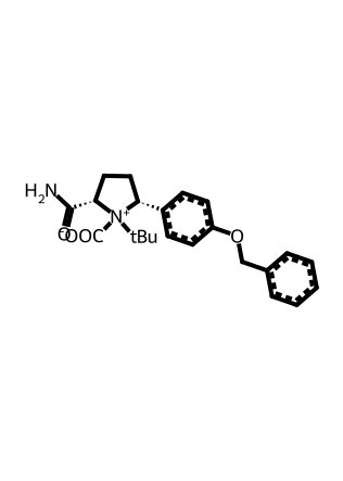 CC(C)(C)[N+]1(C(=O)[O-])[C@@H](c2ccc(OCc3ccccc3)cc2)CC[C@H]1C(N)=O